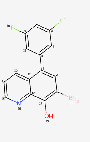 Bc1cc(-c2cc(F)cc(F)c2)c2cccnc2c1O